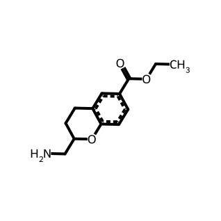 CCOC(=O)c1ccc2c(c1)CCC(CN)O2